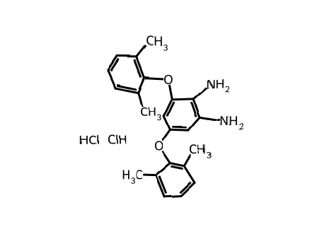 Cc1cccc(C)c1Oc1cc(N)c(N)c(Oc2c(C)cccc2C)c1.Cl.Cl